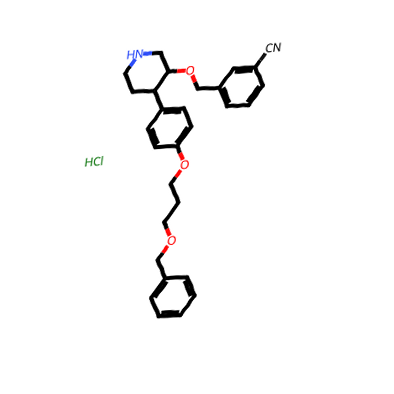 Cl.N#Cc1cccc(COC2CNCCC2c2ccc(OCCCOCc3ccccc3)cc2)c1